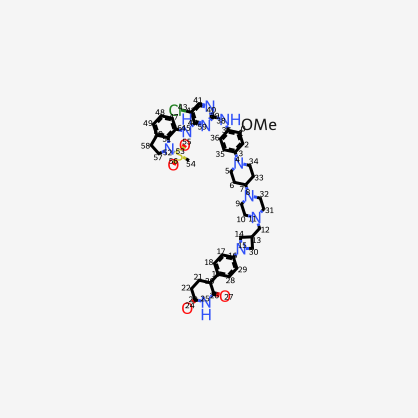 COc1cc(N2CCC(N3CCN(CC4CN(c5ccc(C6CCC(=O)NC6=O)cc5)C4)CC3)CC2)ccc1Nc1ncc(Cl)c(Nc2cccc3c2N(S(C)(=O)=O)CC3)n1